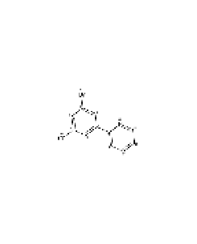 Clc1cc(Br)cc(-c2ccccn2)c1